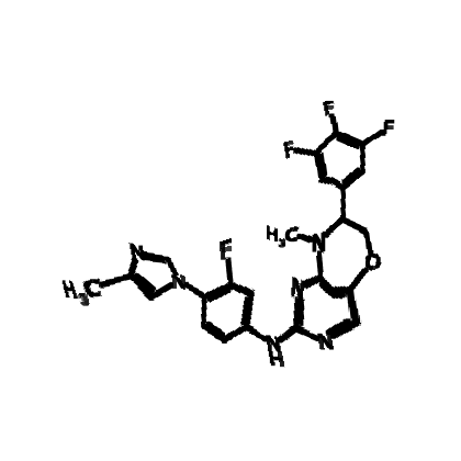 Cc1cn(-c2ccc(Nc3ncc4c(n3)N(C)C(c3cc(F)c(F)c(F)c3)CO4)cc2F)cn1